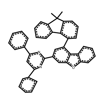 CC1(C)c2ccccc2-c2c(-c3cc(-c4nc(-c5ccccc5)cc(-c5ccccc5)n4)cc4oc5ccccc5c34)cccc21